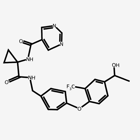 CC(O)c1ccc(Oc2ccc(CNC(=O)C3(NC(=O)c4cncnc4)CC3)cc2)c(C(F)(F)F)c1